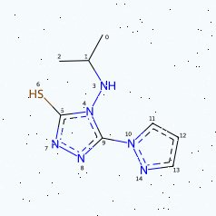 CC(C)Nn1c(S)nnc1-n1cccn1